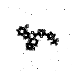 O=C(c1nnc(-c2cnn(C(F)(F)F)c2)o1)N1CCc2[nH]cnc2[C@H]1c1cc2c(Cl)cccn2n1